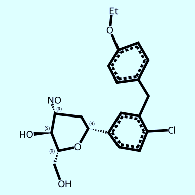 CCOc1ccc(Cc2cc([C@H]3C[C@@H](N=O)[C@H](O)[C@@H](CO)O3)ccc2Cl)cc1